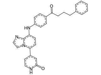 O=C(CCCc1ccccc1)c1ccc(Nc2ccc(-c3cc[nH]c(=O)c3)n3ccnc23)cc1